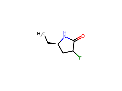 CC[C@@H]1CC(F)C(=O)N1